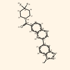 Cn1nnc2cc(-c3cnc4ccc(C(=O)N5CCC(F)(F)CC5)cc4n3)ccc21